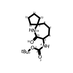 CC(C)(C)OC(=O)NC1CCCC2(CCCC2)NC1=O